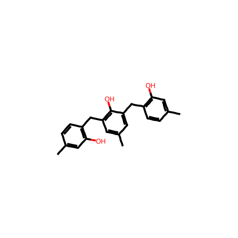 Cc1ccc(Cc2cc(C)cc(Cc3ccc(C)cc3O)c2O)c(O)c1